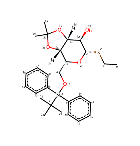 CCS[C@@H]1O[C@H](CO[Si](c2ccccc2)(c2ccccc2)C(C)(C)C)[C@@H]2OC(C)(C)O[C@@H]2[C@H]1O